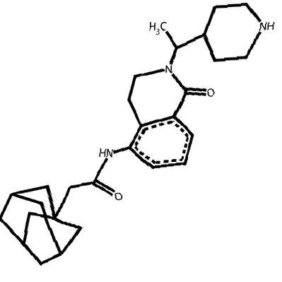 CC(C1CCNCC1)N1CCc2c(NC(=O)CC34CC5CC(CC(C5)C3)C4)cccc2C1=O